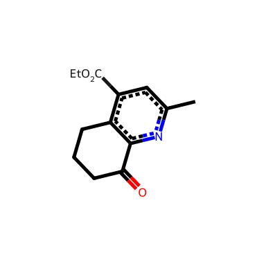 CCOC(=O)c1cc(C)nc2c1CCCC2=O